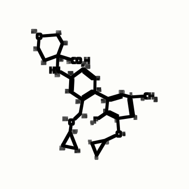 Cc1cc(OC2CC2)c(F)c(-c2ccc(NC3(C(=O)O)CCOCC3)cc2COC2CC2)c1